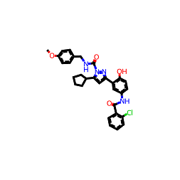 COc1ccc(CNC(=O)n2nc(-c3cc(NC(=O)c4ccccc4Cl)ccc3O)cc2C2CCCC2)cc1